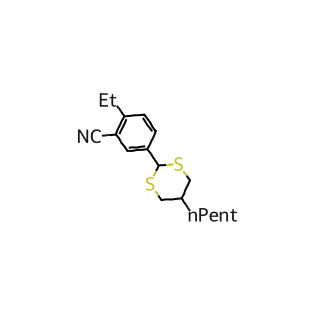 CCCCCC1CSC(c2ccc(CC)c(C#N)c2)SC1